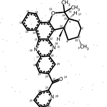 C[C@H]1CC[C@H]2[C@H](C1)c1c(c3ccccc3c3nc4ccc(C(=O)c5ccccn5)cc4nc13)OC2(C)C